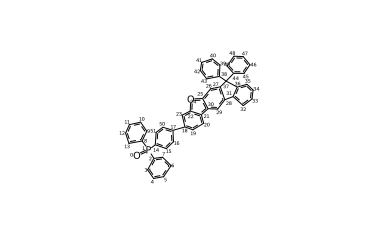 O=P(c1ccccc1)(c1ccccc1)c1ccc(-c2ccc3c(c2)oc2cc4c(cc23)-c2ccccc2C4(c2ccccc2)c2ccccc2)cc1